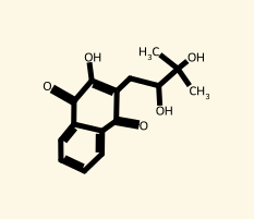 CC(C)(O)C(O)CC1=C(O)C(=O)c2ccccc2C1=O